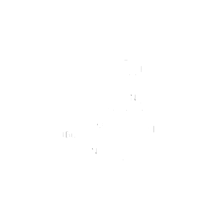 CC(C)(C)c1nc2ccc(Cl)c(S(=O)(=O)N3CC(F)(F)C3)c2o1